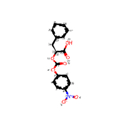 O=C(Oc1ccc([N+](=O)[O-])cc1)O[C@@H](Cc1ccccc1)C(=O)O